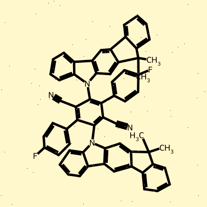 CC1(C)c2ccccc2-c2cc3c4ccccc4n(-c4c(C#N)c(-c5ccc(F)cc5)c(-n5c6ccccc6c6cc7c(cc65)C(C)(C)c5ccccc5-7)c(C#N)c4-c4ccc(F)cc4)c3cc21